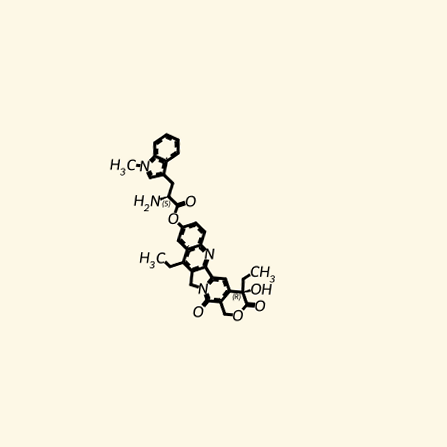 CCc1c2c(nc3ccc(OC(=O)[C@@H](N)Cc4cn(C)c5ccccc45)cc13)-c1cc3c(c(=O)n1C2)COC(=O)[C@@]3(O)CC